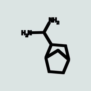 NC(N)C1CC2CCC1C2